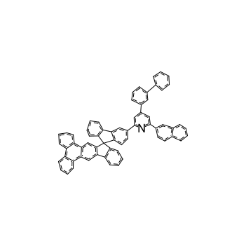 c1ccc(-c2cccc(-c3cc(-c4ccc5c(c4)-c4ccccc4C54c5ccccc5-c5cc6c7ccccc7c7ccccc7c6cc54)nc(-c4ccc5ccccc5c4)c3)c2)cc1